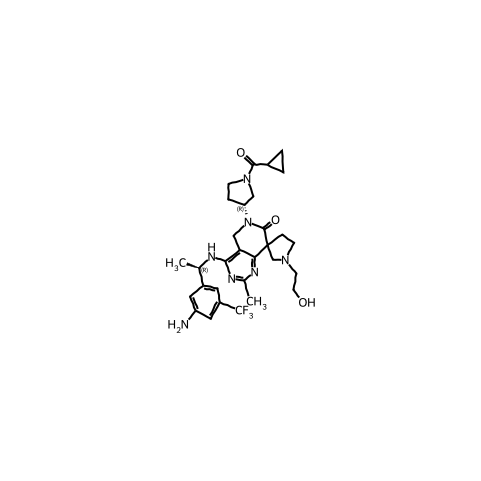 Cc1nc(N[C@H](C)c2cc(N)cc(C(F)(F)F)c2)c2c(n1)C1(CCN(CCO)C1)C(=O)N([C@@H]1CCN(C(=O)C3CC3)C1)C2